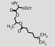 CCCCCCCCC(CCC)C(=O)OCC(C)OC(=O)CCCCN(C)C